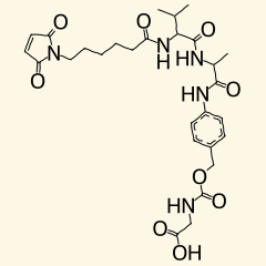 CC(NC(=O)C(NC(=O)CCCCCN1C(=O)C=CC1=O)C(C)C)C(=O)Nc1ccc(COC(=O)NCC(=O)O)cc1